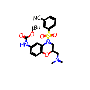 CN(C)CC1CN(S(=O)(=O)c2cccc(C#N)c2)c2cc(NC(=O)OC(C)(C)C)ccc2O1